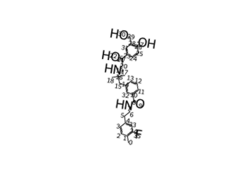 Cc1ccc(CCNC(=O)c2cccc(CC(C)(C)NC[C@@H](O)c3ccc(O)c(CO)c3)c2)cc1F